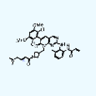 C=CC(=O)Nc1cccc(C)c1Nc1ncc2cc(-c3c(Cl)c(OC)cc(OC)c3Cl)c(=O)n(CC3CN(C(=O)/C=C/CN(C)C)C3)c2n1